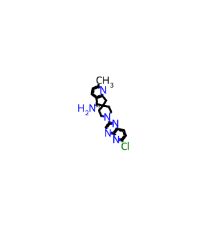 Cc1ccc2c(n1)CC1(CCN(c3cnc4nc(Cl)ccc4n3)CC1)[C@H]2N